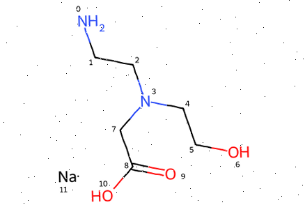 NCCN(CCO)CC(=O)O.[Na]